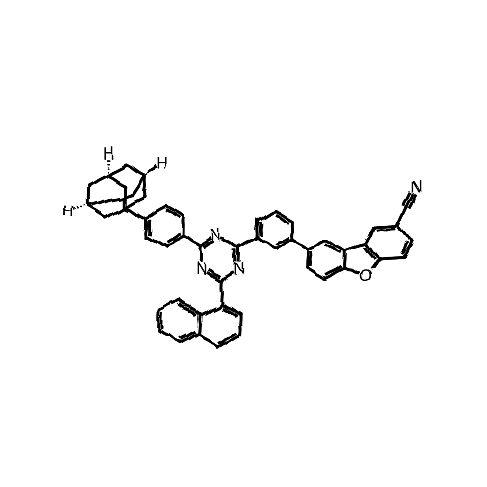 N#Cc1ccc2oc3ccc(-c4cccc(-c5nc(-c6ccc(C78C[C@H]9C[C@H](C7)C[C@@H](C8)C9)cc6)nc(-c6cccc7ccccc67)n5)c4)cc3c2c1